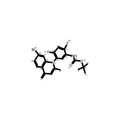 C=C1C=C(C)N(c2cc(NC(=O)OC(C)(C)C)c(F)cc2F)c2cc(Br)ccc21